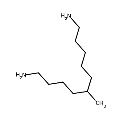 CC(CCCCN)CCCCCN